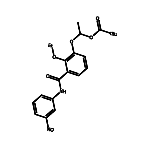 CCOc1c(OC(C)OC(=O)C(C)(C)C)cccc1C(=O)Nc1cccc(N=O)c1